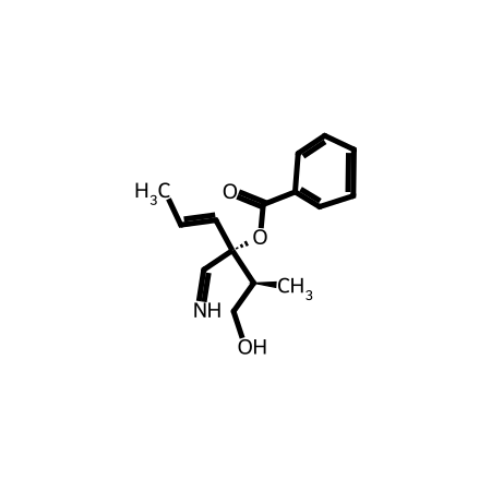 C/C=C/[C@@](C=N)(OC(=O)c1ccccc1)[C@@H](C)CO